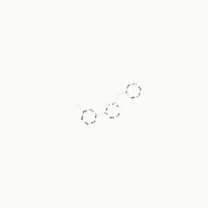 O=[N+]([O-])c1cc(-c2ccnc(Nc3ccccc3)n2)ccc1O